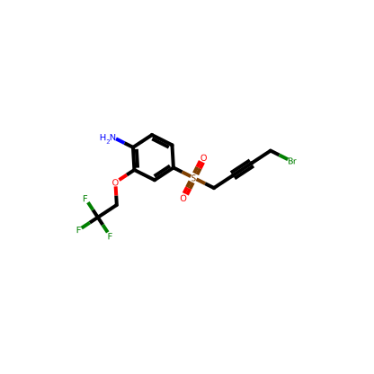 Nc1ccc(S(=O)(=O)CC#CCBr)cc1OCC(F)(F)F